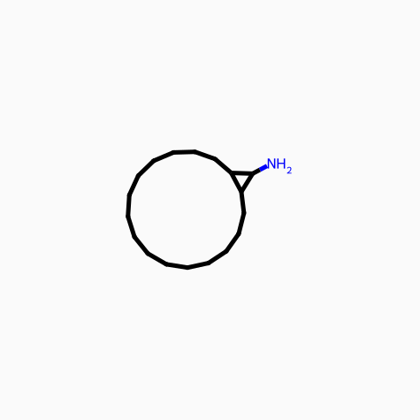 NC1C2CCCCCCCCCCCCCCCC12